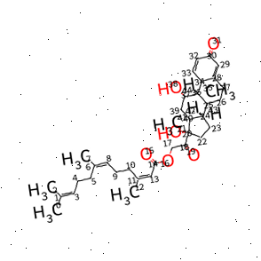 CC(C)=CCCC(C)=CCCC(C)=CC(=O)OCC(=O)[C@@]1(O)CC[C@H]2[C@@H]3CCC4=CC(=O)C=C[C@]4(C)[C@H]3C(O)C[C@@]21C